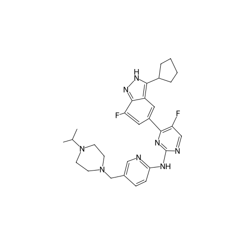 CC(C)N1CCN(Cc2ccc(Nc3ncc(F)c(-c4cc(F)c5n[nH]c(C6CCCC6)c5c4)n3)nc2)CC1